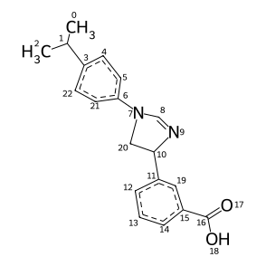 CC(C)c1ccc(N2C=NC(c3cccc(C(=O)O)c3)C2)cc1